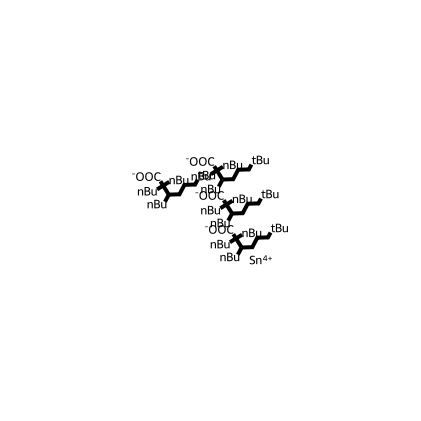 CCCCC(CCCC(C)(C)C)C(CCCC)(CCCC)C(=O)[O-].CCCCC(CCCC(C)(C)C)C(CCCC)(CCCC)C(=O)[O-].CCCCC(CCCC(C)(C)C)C(CCCC)(CCCC)C(=O)[O-].CCCCC(CCCC(C)(C)C)C(CCCC)(CCCC)C(=O)[O-].[Sn+4]